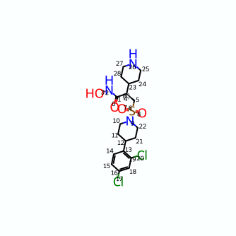 O=C(NO)[C@H](CS(=O)(=O)N1CCC(c2ccc(Cl)cc2Cl)CC1)C1CCNCC1